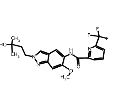 COc1cc2nn(CCC(C)(C)O)cc2cc1NC(=O)c1cccc(C(F)(F)F)n1